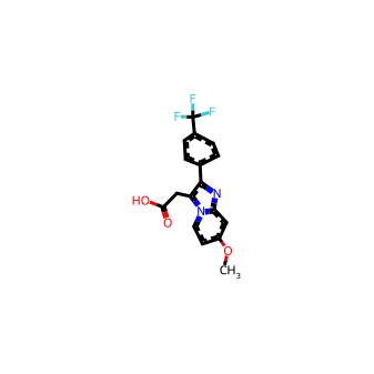 COc1ccn2c(CC(=O)O)c(-c3ccc(C(F)(F)F)cc3)nc2c1